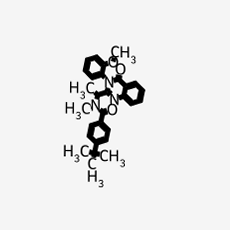 COc1ccccc1-n1c(C(C)N(C)C(=O)c2ccc(C(C)(C)C)cc2)nc2ccccc2c1=O